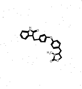 CN1C(=O)OCC1Cc1ccc(Oc2ccc(CC3C(=O)Nc4ccccc43)cc2)cc1